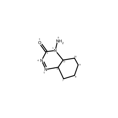 NN1C(=O)N=NC2CCCCC21